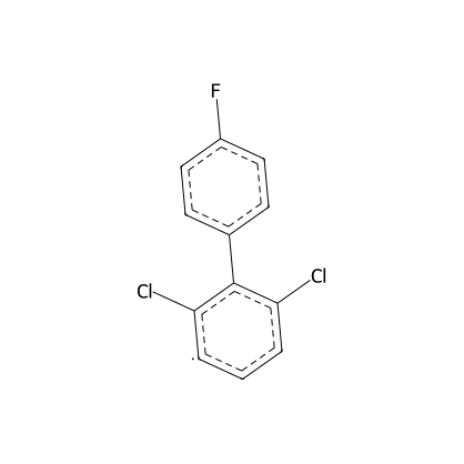 Fc1ccc(-c2c(Cl)[c]ccc2Cl)cc1